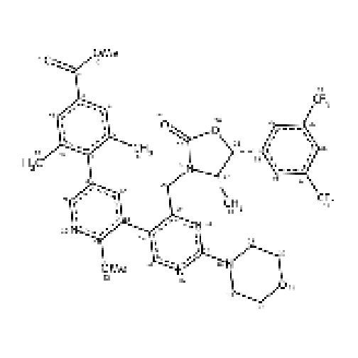 COC(=O)c1cc(C)c(-c2cnc(OC)c(-c3cnc(N4CCOCC4)nc3CN3C(=O)O[C@H](c4cc(C(F)(F)F)cc(C(F)(F)F)c4)[C@@H]3C)c2)c(C)c1